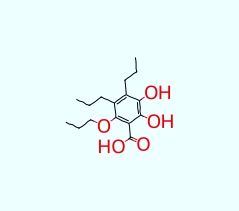 CCCOc1c(CCC)c(CCC)c(O)c(O)c1C(=O)O